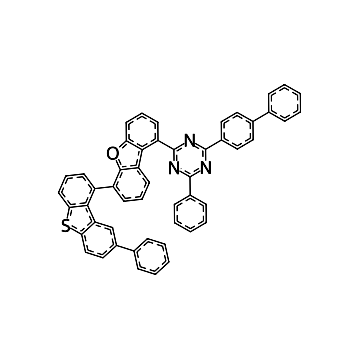 c1ccc(-c2ccc(-c3nc(-c4ccccc4)nc(-c4cccc5oc6c(-c7cccc8sc9ccc(-c%10ccccc%10)cc9c78)cccc6c45)n3)cc2)cc1